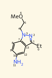 CCc1nn(CCOC)c2ccc(N)cc12